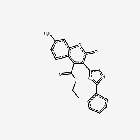 CCOC(=O)c1c(-c2nnc(-c3ccccc3)o2)c(=O)oc2cc(P)ccc12